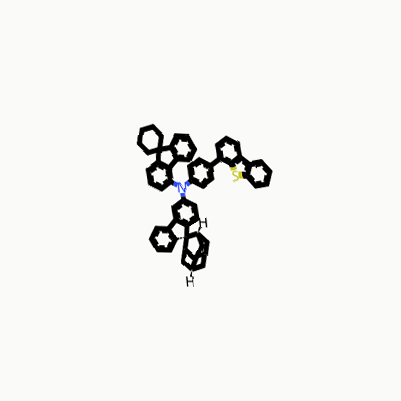 c1ccc2c(c1)-c1c(N(c3ccc(-c4cccc5c4sc4ccccc45)cc3)c3ccc4c(c3)-c3ccccc3[C@]43C4CC5C[C@@H](C4)C[C@@H]3C5)cccc1C21CCCCC1